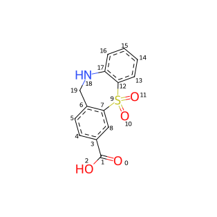 O=C(O)c1ccc2c(c1)S(=O)(=O)c1ccccc1NC2